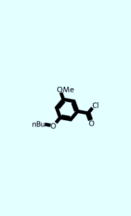 CCCCOc1cc(OC)cc(C(=O)Cl)c1